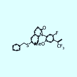 C=C(c1cc(OC)c(-n2c(=O)ccc3cc(SCc4ccccc4)ccc32)cc1F)C(F)(F)F